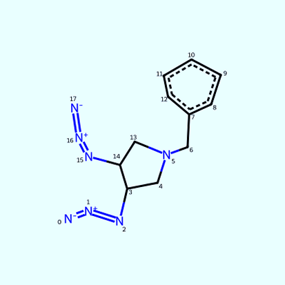 [N-]=[N+]=NC1CN(Cc2ccccc2)CC1N=[N+]=[N-]